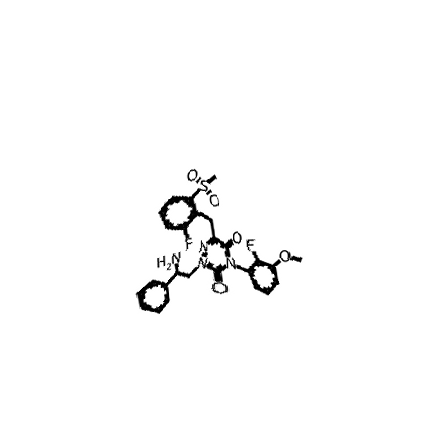 COc1cccc(-n2c(=O)c(Cc3c(F)cccc3S(C)(=O)=O)nn(CC(N)c3ccccc3)c2=O)c1F